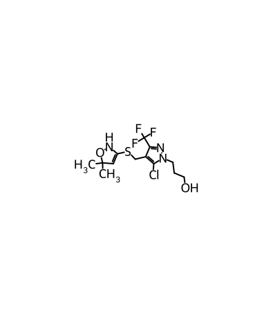 CC1(C)C=C(SCc2c(C(F)(F)F)nn(CCCO)c2Cl)NO1